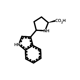 O=C(O)[C@@H]1CCC(c2c[nH]c3ccccc23)N1